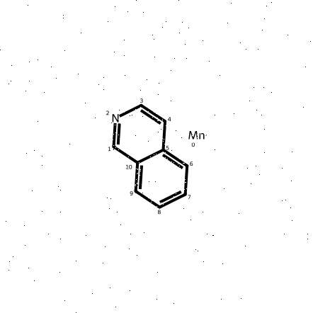 [Mn].[c]1nccc2ccccc12